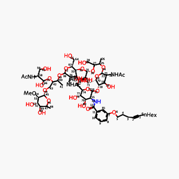 CCCCCCC#CCCCOc1cccc(C(=O)N[C@@H]2C(O[C@H]3C(O)C(NC(C)=O)[C@H](OC(C)C(CO)O[C@@H](O[C@H]4C(O)C(NC(C)=O)C(OC(C)C(CO[C@@H]5OC(C)C(O)[C@H](O)[C@H]5OC)OC(O)[C@H](CO)NC(C)=O)O[C@H]4CO)C(O)NC(C)=O)O[C@H]3CO)OC(CO)[C@@H](O)[C@@H]2O)c1